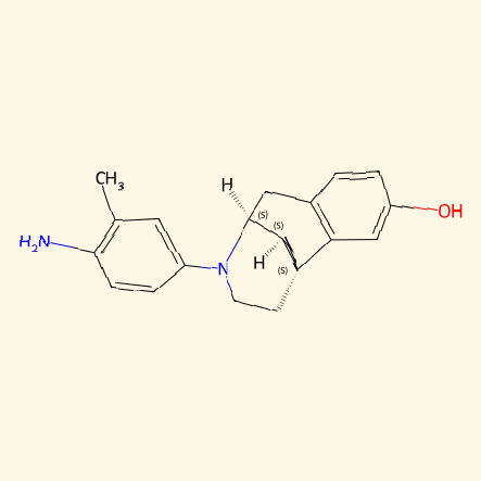 Cc1cc(N2CC[C@@]34CCCC[C@@H]3[C@@H]2Cc2ccc(O)cc24)ccc1N